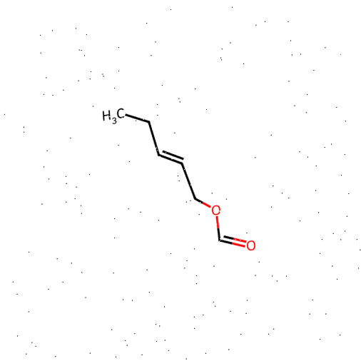 CCC=CCOC=O